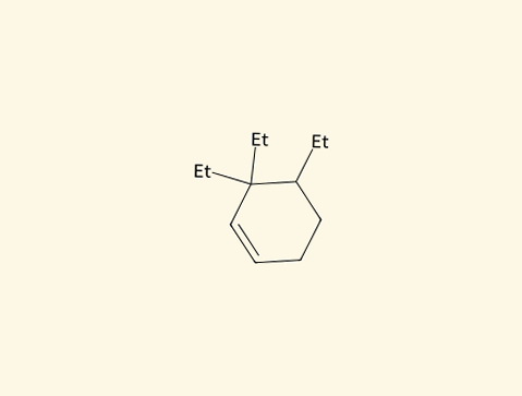 CCC1CCC=CC1(CC)CC